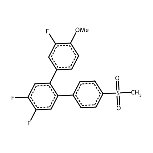 COc1ccc(-c2cc(F)c(F)cc2-c2ccc(S(C)(=O)=O)cc2)cc1F